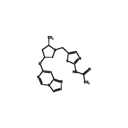 CC(=O)Nc1ncc(CN2CC(Oc3cc4nccn4cn3)CC2C)s1